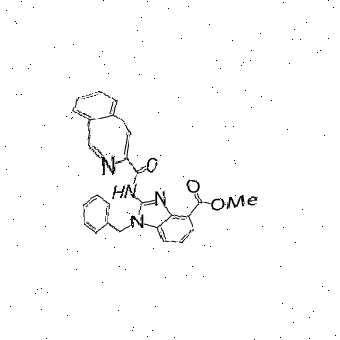 COC(=O)c1cccc2c1nc(NC(=O)c1cc3ccccc3cn1)n2Cc1ccccc1